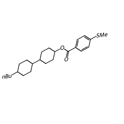 CCCCC1CCC(C2CCC(OC(=O)c3ccc(SC)cc3)CC2)CC1